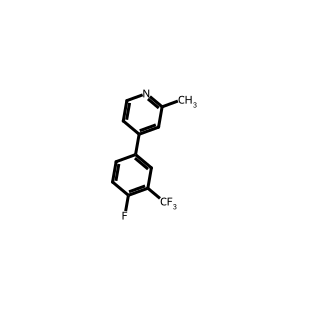 Cc1cc(-c2ccc(F)c(C(F)(F)F)c2)ccn1